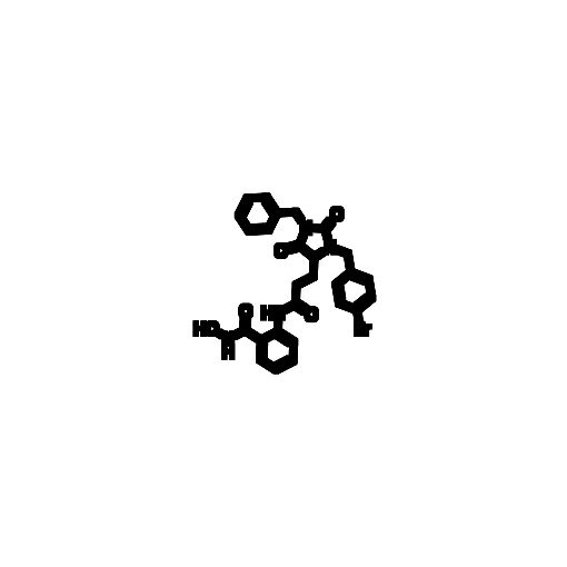 O=C(CCC1C(=O)N(Cc2ccccc2)C(=O)N1Cc1ccc(Br)cc1)Nc1ccccc1C(=O)NO